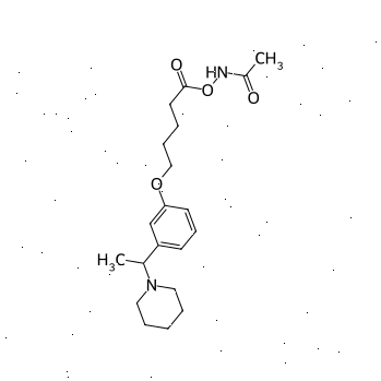 CC(=O)NOC(=O)CCCCOc1cccc(C(C)N2CCCCC2)c1